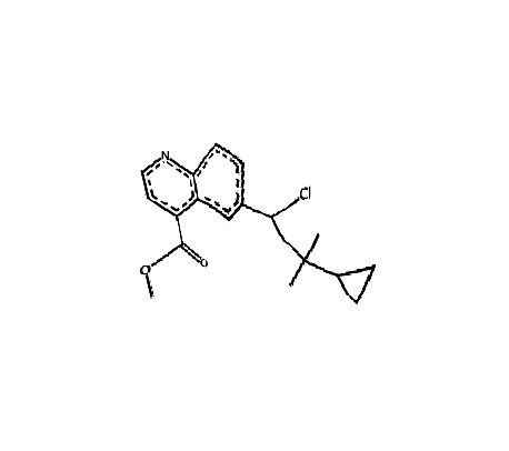 COC(=O)c1ccnc2ccc(C(Cl)CC(C)(C)C3CC3)cc12